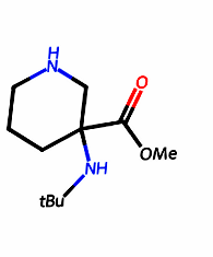 COC(=O)C1(NC(C)(C)C)CCCNC1